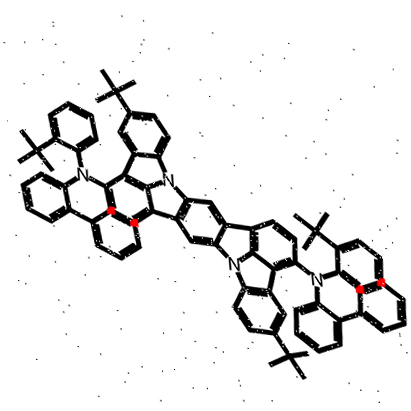 CC(C)(C)c1ccc2c(c1)c1c(N(c3ccccc3-c3ccccc3)c3ccccc3C(C)(C)C)ccc3c4cc5c(cc4n2c31)c1ccc(N(c2ccccc2-c2ccccc2)c2ccccc2C(C)(C)C)c2c3cc(C(C)(C)C)ccc3n5c12